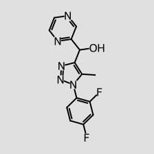 Cc1c(C(O)c2cnccn2)nnn1-c1ccc(F)cc1F